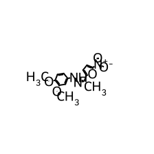 COc1ccc(NN=C(C)c2ccc([N+](=O)[O-])o2)cc1OC